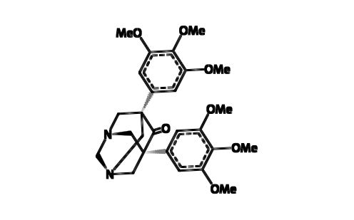 COc1cc([C@]23C[N@]4C[N@@](C[C@@](c5cc(OC)c(OC)c(OC)c5)(C4)C2=O)C3)cc(OC)c1OC